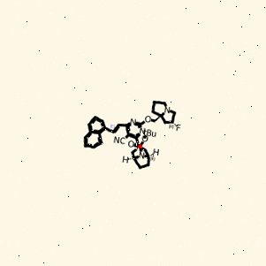 CC(C)(C)OC(=O)N1[C@@H]2CC[C@H]1CN(c1nc(OC[C@@]34CCCN3C[C@H](F)C4)nc(/C=C/c3cccc4ccccc34)c1C#N)C2